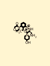 CCc1c(N2CCOCC2=O)cccc1S(=O)(=O)N[C@@H](CN)C(=O)N1CCC(O)CC1